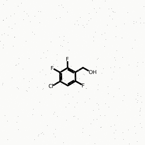 OCc1c(F)cc(Cl)c(F)c1F